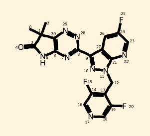 CC1(C)C(=O)Nc2nc(-c3nn(Cc4c(F)cncc4F)c4ncc(F)cc34)nnc21